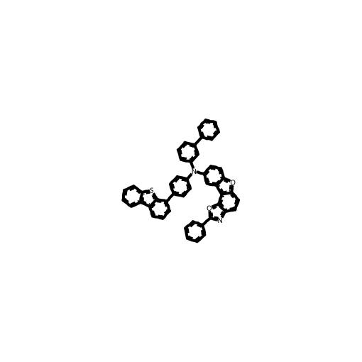 c1ccc(-c2cccc(N(c3ccc(-c4cccc5c4sc4ccccc45)cc3)c3ccc4oc5ccc6nc(-c7ccccc7)oc6c5c4c3)c2)cc1